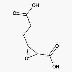 O=C(O)CCC1OC1C(=O)O